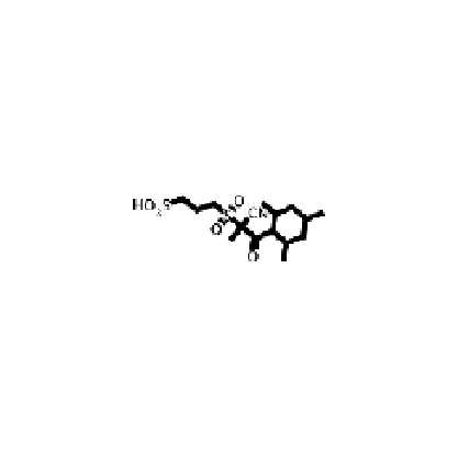 CC1CC(C)C(C(=O)C(C)(C#N)S(=O)(=O)CCCS(=O)(=O)O)C(C)C1